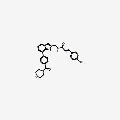 Nc1ccc(/C=C/C(=O)NCc2cc3cccc(-c4ccc(C(=O)N5CCOCC5)cc4)c3o2)cn1